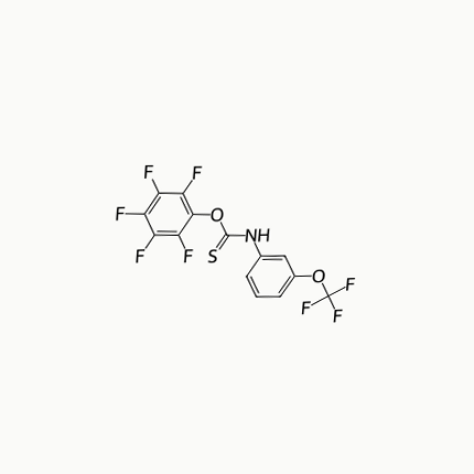 Fc1c(F)c(F)c(OC(=S)Nc2cccc(OC(F)(F)F)c2)c(F)c1F